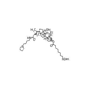 CCCCCCCCCCCCCCCCCC(=O)O[C@@H]1CC[C@@]2(C)[C@@H](C1)[C@@H](CC)[C@@H](O)[C@@H]1[C@@H]2CC[C@]2(C)[C@@H]([C@H](C)CCC(=O)NCCCCN3CCCC3)CC[C@@H]12